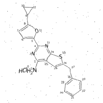 Cl.Nc1nc(-c2ccc(C3CC3)o2)nc2sc(Cc3ccccc3)cc12